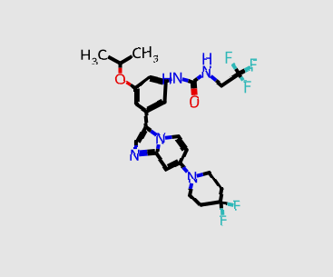 CC(C)Oc1cc(NC(=O)NCC(F)(F)F)cc(-c2cnc3cc(N4CCC(F)(F)CC4)ccn23)c1